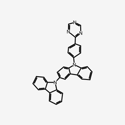 c1ccc2c(c1)c1ccccc1n2-c1ccc2c(c1)c1ccccc1n2-c1ccc(-c2ncncn2)cc1